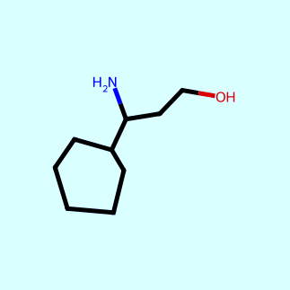 NC(CCO)C1CCCCC1